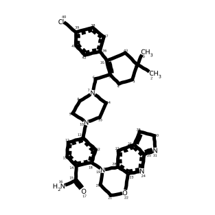 CC1(C)CCC(CN2CCN(c3ccc(C(N)=O)c(N4CCOc5nc6c(cc54)=CCN=6)c3)CC2)=C(c2ccc(Cl)cc2)C1